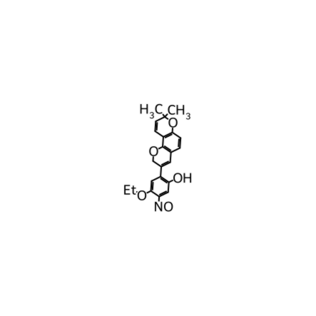 CCOc1cc(C2=Cc3ccc4c(c3OC2)C=CC(C)(C)O4)c(O)cc1N=O